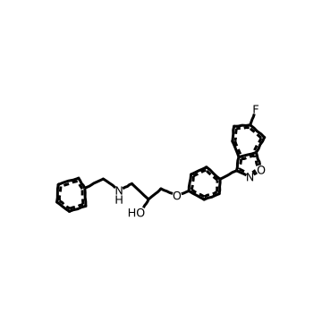 OC(CNCc1ccccc1)COc1ccc(-c2noc3cc(F)ccc23)cc1